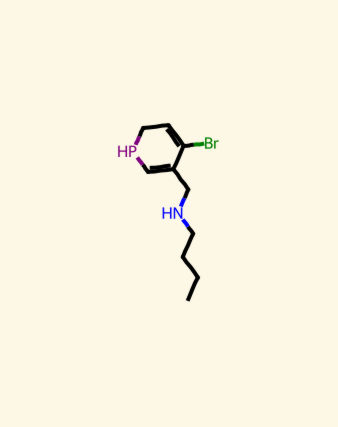 CCCCNCC1=CPCC=C1Br